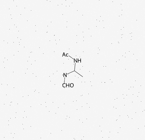 CC(=O)NC(C)[N]C=O